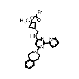 CC(C)C(=O)O[C@]1(C)C[C@@H](CNc2cc(N3CCc4ccccc4CC3)nc(-c3ccccn3)n2)C1